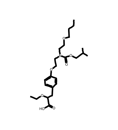 CCCCOCCN(CCOc1ccc(CC(OCC)C(=O)O)cc1)C(=O)OCC(C)C